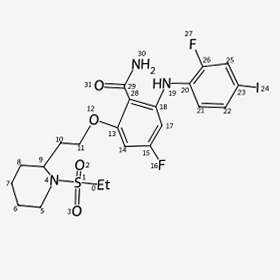 CCS(=O)(=O)N1CCCCC1CCOc1cc(F)cc(Nc2ccc(I)cc2F)c1C(N)=O